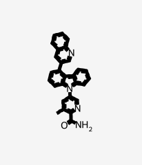 Cc1cc(-n2c3ccccc3c3c(-c4cnc5ccccc5c4)cccc32)cnc1C(N)=O